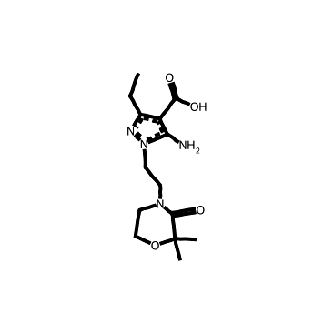 CCc1nn(CCN2CCOC(C)(C)C2=O)c(N)c1C(=O)O